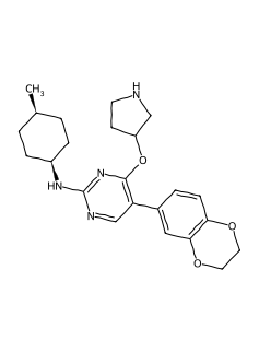 C[C@H]1CC[C@@H](Nc2ncc(-c3ccc4c(c3)OCCO4)c(OC3CCNC3)n2)CC1